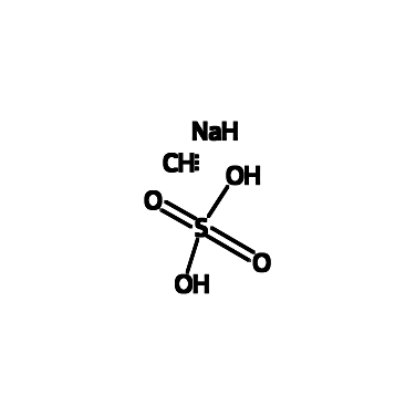 O=S(=O)(O)O.[CH].[NaH]